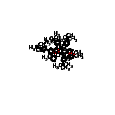 CC(C)(C)c1ccc(-c2ccc3c(c2)C2(C)CCCCC2(C)N3c2cc3c4c(c2)N(c2ccc(C(C)(C)C)cc2-c2ccccc2)c2cc(C(C)(C)C)ccc2B4c2ccc(C(C)(C)C)cc2N3c2ccc(C(C)(C)C)cc2-c2ccccc2)cc1